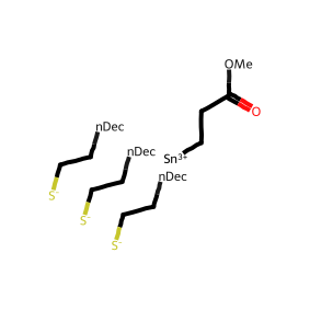 CCCCCCCCCCCC[S-].CCCCCCCCCCCC[S-].CCCCCCCCCCCC[S-].COC(=O)C[CH2][Sn+3]